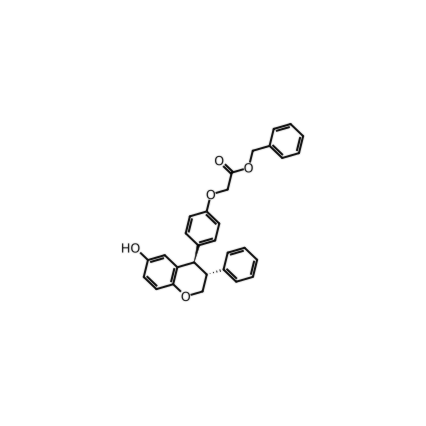 O=C(COc1ccc([C@@H]2c3cc(O)ccc3OC[C@H]2c2ccccc2)cc1)OCc1ccccc1